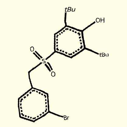 CC(C)(C)c1cc(S(=O)(=O)Cc2cccc(Br)c2)cc(C(C)(C)C)c1O